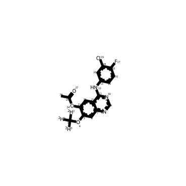 [2H]C([2H])([2H])Oc1cc2ncnc(Nc3ccc(F)c(Cl)c3)c2cc1OC(C)=O